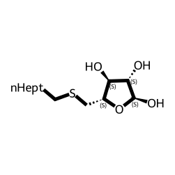 CCCCCCCCSC[C@H]1O[C@H](O)[C@@H](O)[C@@H]1O